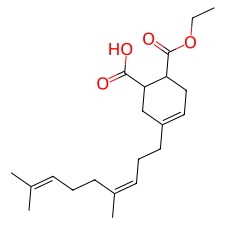 CCOC(=O)C1CC=C(CCC=C(C)CCC=C(C)C)CC1C(=O)O